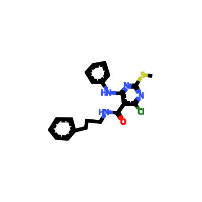 CSc1nc(Cl)c(C(=O)NCCCc2ccccc2)c(Nc2ccccc2)n1